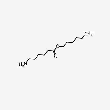 [CH2]CCCCCOC(=O)CCCCCN